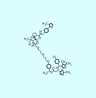 Cc1ccoc1-c1ccc(CNC(=O)C2CCCN2C(=O)C(NC(=O)COCCCOCCCOc2ccc(C(C)OC(=O)CC3N=C(c4ccc(Cl)cc4)c4c(oc(C)c4C)-n4c(C)nnc43)cc2)C(C)(C)C)cc1